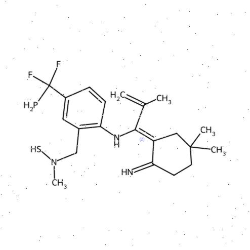 C=C(C)/C(Nc1ccc(C(F)(F)P)cc1CN(C)S)=C1\CC(C)(C)CCC1=N